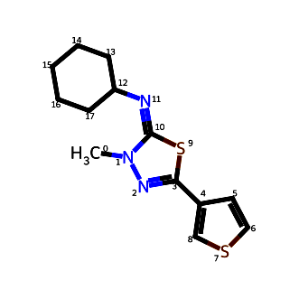 Cn1nc(-c2ccsc2)sc1=NC1CCCCC1